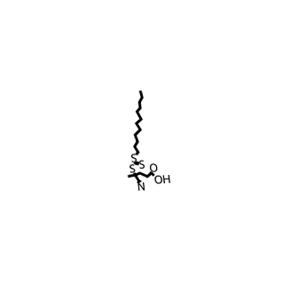 CCCCCCCCCCCCSC(=S)SC(C)(C#N)CCC(=O)O